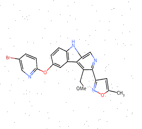 COCc1c(-c2cc(C)on2)ncc2[nH]c3ccc(Oc4ccc(Br)cn4)cc3c12